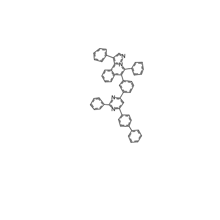 c1ccc(-c2ccc(-c3cc(-c4cccc(-c5c(-c6ccccc6)n6ncc(-c7ccccc7)c6c6ccccc56)c4)nc(-c4ccccc4)n3)cc2)cc1